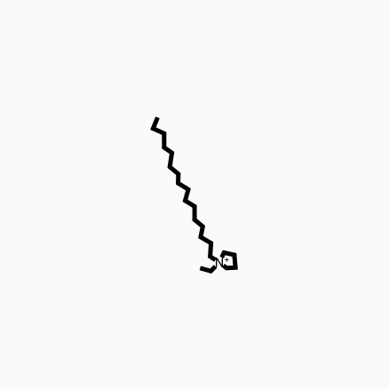 CCCCCCCCCCCCCCCC[N+]1(CC)CCCC1